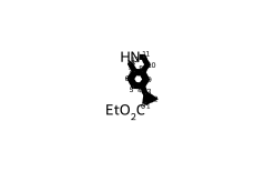 CCOC(=O)C1CC1c1ccc2c(c1)CCNC2